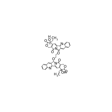 CC[C@@]1(O)C(=O)OCc2c1cc1n(c2=O)C(OCCO[C@H]2c3cc4ccccc4nc3-c3cc4c(c(=O)n32)COC(=O)[C@]4(O)CC)c2cc3ccccc3nc2-1